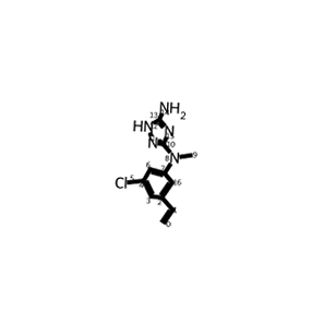 C=Cc1cc(Cl)cc(N(C)c2n[nH]c(N)n2)c1